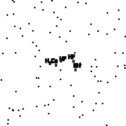 F.F.[CaH2].[KH]